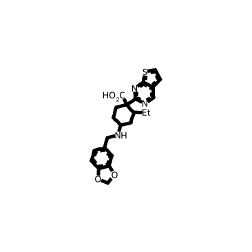 CCC1CC(NCc2ccc3c(c2)OCO3)CCC1(C(=O)O)c1ncc2ccsc2n1